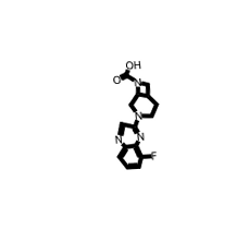 O=C(O)N1CC2CCN(c3cnc4cccc(F)c4n3)CC21